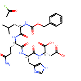 CC(=O)F.CC(C)C[C@H](NC(=O)OCc1ccccc1)C(=O)N[C@@H](CCC(N)=O)C(=O)N[C@@H](Cc1c[nH]cn1)C(=O)N[C@@H](CC(=O)O)C(=O)O